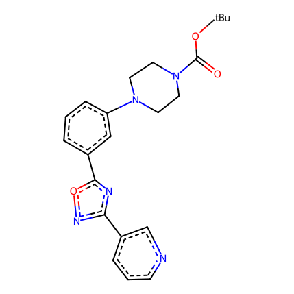 CC(C)(C)OC(=O)N1CCN(c2cccc(-c3nc(-c4cccnc4)no3)c2)CC1